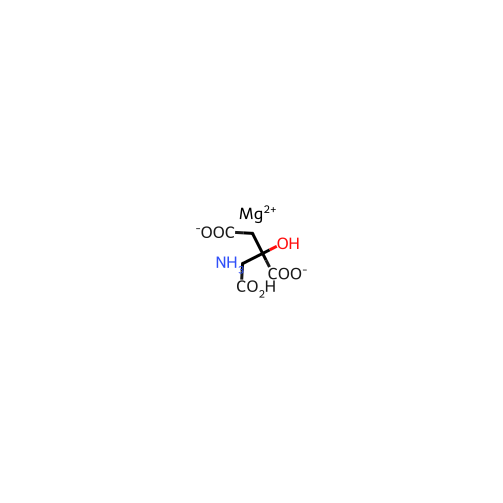 N.O=C([O-])CC(O)(CC(=O)O)C(=O)[O-].[Mg+2]